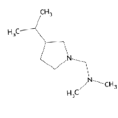 CC(C)C1CCN(CN(C)C)C1